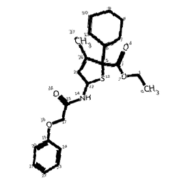 CCOC(=O)C1(C2CCCCC2)SC(NC(=O)COc2ccccc2)CC1C